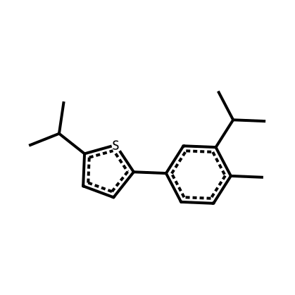 Cc1ccc(-c2ccc(C(C)C)s2)cc1C(C)C